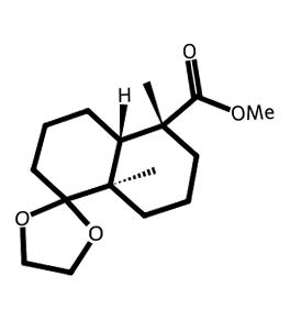 COC(=O)[C@]1(C)CCC[C@]2(C)[C@@H]1CCCC21OCCO1